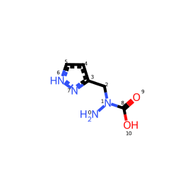 NN(Cc1cc[nH]n1)C(=O)O